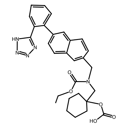 CCOC(=O)N(Cc1ccc2cc(-c3ccccc3-c3nnn[nH]3)ccc2c1)CC1(OC(=O)O)CCCCC1